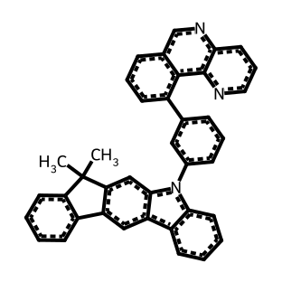 CC1(C)c2ccccc2-c2cc3c4ccccc4n(-c4cccc(-c5cccc6cnc7cccnc7c56)c4)c3cc21